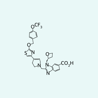 O=C(O)c1ccc2nc(CN3CC=C(c4csc(OCc5ccc(OC(F)(F)F)cc5)n4)CC3)n(C[C@@H]3CCO3)c2c1